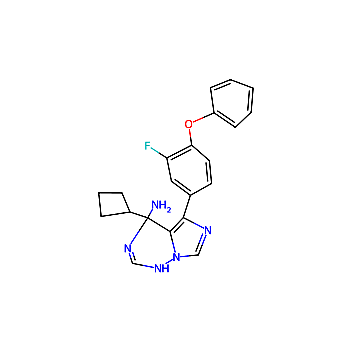 NC1(C2CCC2)N=CNn2cnc(-c3ccc(Oc4ccccc4)c(F)c3)c21